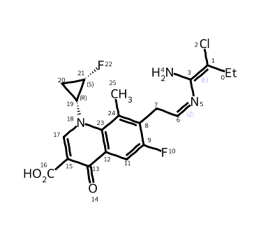 CC/C(Cl)=C(N)\N=C/Cc1c(F)cc2c(=O)c(C(=O)O)cn([C@@H]3C[C@@H]3F)c2c1C